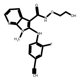 C#Cc1ccc(Nc2c(C(=O)NOCCO)c3cccnc3n2C)c(F)c1